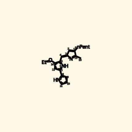 CCCCCC1=C/C(=C/c2[nH]c(-c3ccc[nH]3)cc2OCC)N=C1C